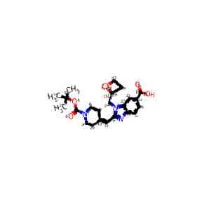 CC(C)(C)OC(=O)N1CCC(=Cc2nc3ccc(C(=O)O)cc3n2C[C@@H]2CCO2)CC1